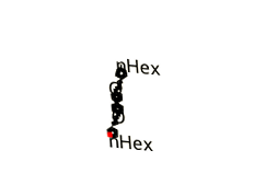 CCCCCC[C@H]1CC[C@H](CCCOc2ccc(-c3ccc(OCCC[C@H]4CC[C@H](CCCCCC)CC4)cc3)cc2)CC1